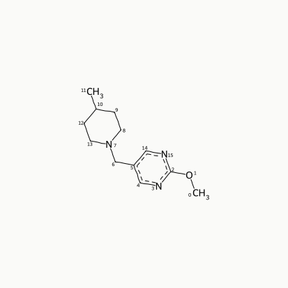 COc1ncc(CN2CCC(C)CC2)cn1